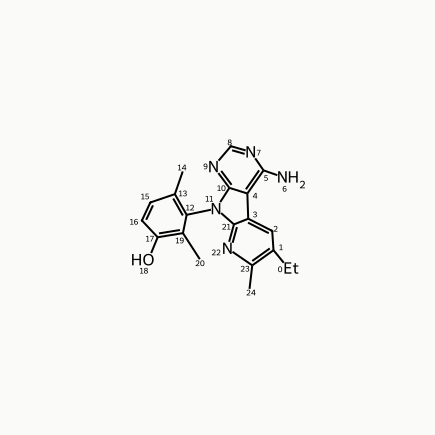 CCc1cc2c3c(N)ncnc3n(-c3c(C)ccc(O)c3C)c2nc1C